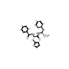 O=C(N[C@@H](Cc1cccs1)C(=O)N[C@@H](CC1C=CC=CC1)C(=O)O)c1ccccc1